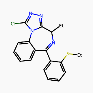 CCSc1ccccc1C1=NC(CC)c2nnc(Cl)n2-c2ccccc21